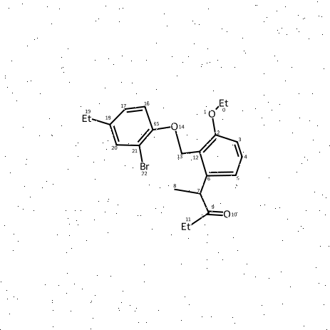 CCOc1cccc(C(C)C(=O)CC)c1COc1ccc(CC)cc1Br